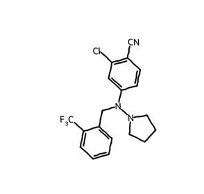 N#Cc1ccc(N(Cc2ccccc2C(F)(F)F)N2CCCC2)cc1Cl